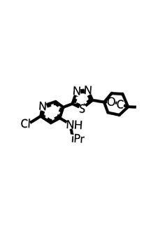 CC(C)Nc1cc(Cl)ncc1-c1nnc(C23CCC(C)(CC2)CO3)s1